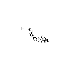 CCc1c(C(=O)N2CCOc3ccc(-c4cnc(N(C)CC(N)=O)s4)cc3C2)ccc(S(C)(=O)=O)c1F